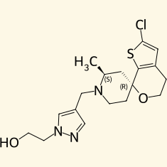 C[C@H]1C[C@@]2(CCN1Cc1cnn(CCO)c1)OCCc1cc(Cl)sc12